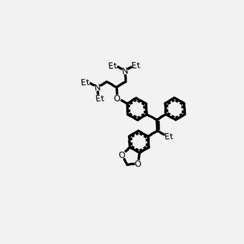 CCC(=C(c1ccccc1)c1ccc(OC(CN(CC)CC)CN(CC)CC)cc1)c1ccc2c(c1)OCO2